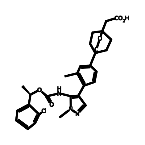 Cc1cc(C23CCC(CC(=O)O)(CC2)OC3)ccc1-c1cnn(C)c1NC(=O)O[C@H](C)c1ccccc1Cl